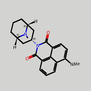 CNc1ccc2c3c(cccc13)C(=O)N([C@H]1C[C@H]3CCC[C@@H](C1)N3C)C2=O